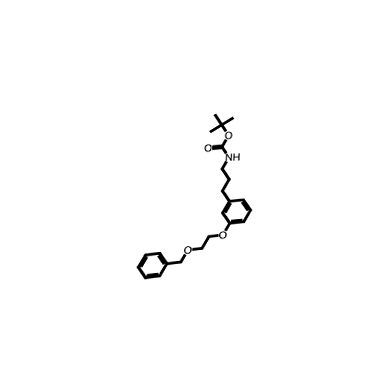 CC(C)(C)OC(=O)NCCCc1cccc(OCCOCc2ccccc2)c1